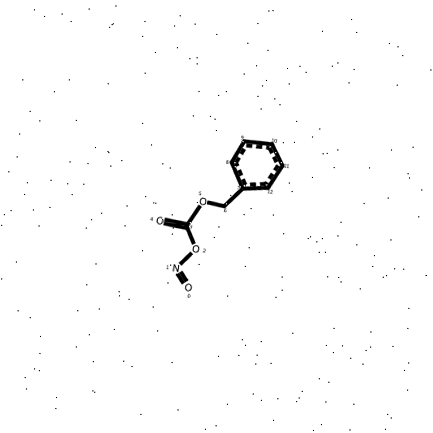 O=NOC(=O)OCc1ccccc1